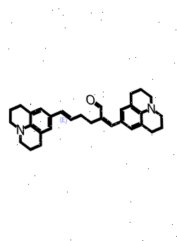 O=CC(=Cc1cc2c3c(c1)CCCN3CCC2)CC/C=C/c1cc2c3c(c1)CCCN3CCC2